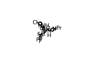 CC(C)N1CCC(NC(=O)c2cc(OCC(F)(F)COC(F)F)nn2CC(=O)Nc2ccc(Cl)cn2)CC1